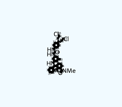 CNC(=O)c1cccc2c(Nc3cc(C)cc(NC(=O)Nc4ccc(N(CCCl)CCCl)cc4)c3)c3ccccc3nc12